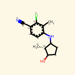 Cc1c(NC2CCC(O)[C@@H]2C)ccc(C#N)c1Cl